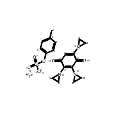 Cc1ccc(OS(=O)(=O)C(F)(F)F)cc1.O=C1C=C(N2CC2)C(=O)C(N2CC2)=C1N1CC1.S